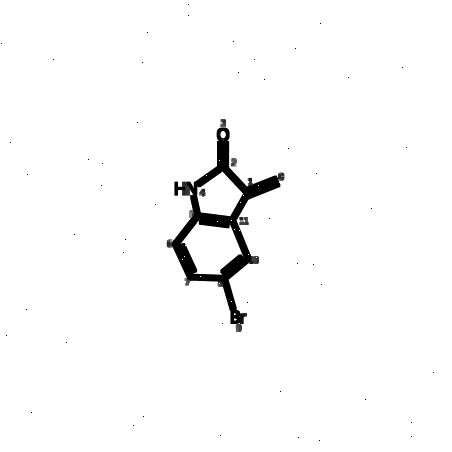 C=C1C(=O)Nc2ccc(Br)cc21